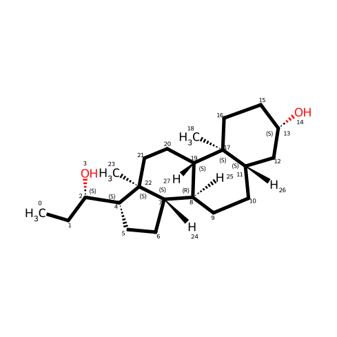 CC[C@H](O)[C@H]1CC[C@H]2[C@@H]3CC[C@H]4C[C@@H](O)CC[C@]4(C)[C@H]3CC[C@]12C